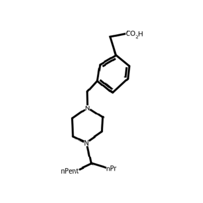 CCCCCC(CCC)N1CCN(Cc2cccc(CC(=O)O)c2)CC1